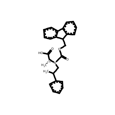 CC(CN(C(=O)OCC1c2ccccc2-c2ccccc21)[C@H](C)C(=O)O)c1ccccc1